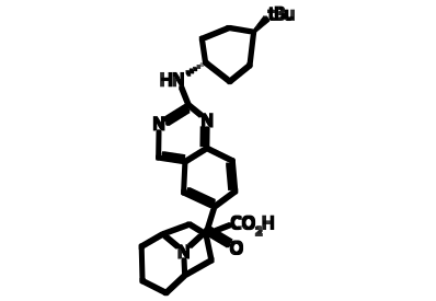 CC(C)(C)[C@H]1CC[C@H](Nc2ncc3cc(C(=O)N4C5CCCC4CC(C(=O)O)C5)ccc3n2)CC1